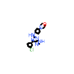 Clc1cccc(-c2nc(Nc3ccc(N4CCOCC4)cc3)nc3[nH]cnc23)c1